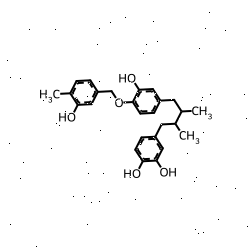 Cc1ccc(COc2ccc(CC(C)C(C)Cc3ccc(O)c(O)c3)cc2O)cc1O